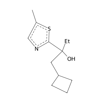 CCC(O)(CC1CCC1)c1ncc(C)s1